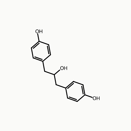 Oc1ccc(CC(O)Cc2ccc(O)cc2)cc1